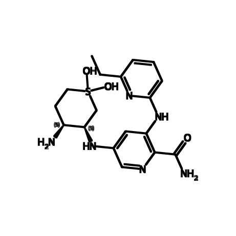 CCc1cccc(Nc2cc(N[C@@H]3CS(O)(O)CC[C@@H]3N)cnc2C(N)=O)n1